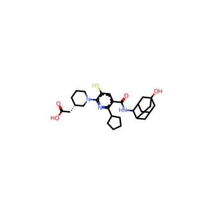 O=C(O)C[C@@H]1CCCN(c2nc(C3CCCC3)c(C(=O)NC3C4CC5CC3CC(O)(C5)C4)cc2S)C1